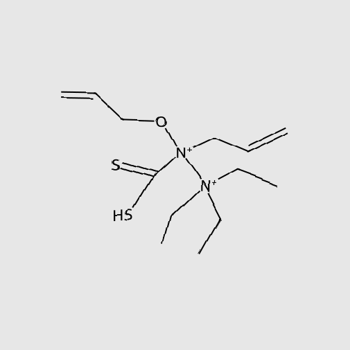 C=CCO[N+](CC=C)(C(=S)S)[N+](CC)(CC)CC